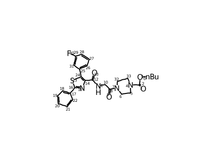 CCCCOC(=O)N1CCN(C(=O)CNC(=O)c2nc(-c3ccccc3)sc2-c2cccc(F)c2)CC1